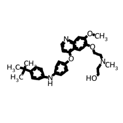 COc1cc2nccc(Oc3ccc(Nc4ccc(C(C)(C)C)cc4)cc3)c2cc1OCCN(C)CCO